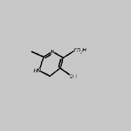 CC1=NC(C(=O)O)=C(O)CN1